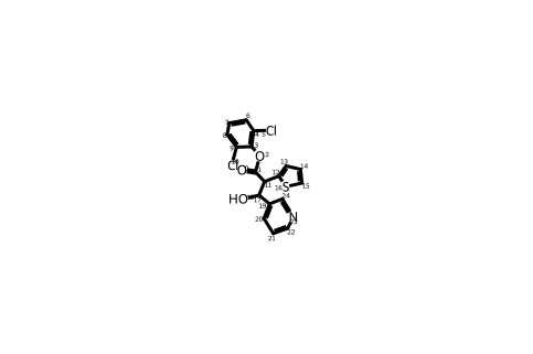 O=C(Oc1c(Cl)cccc1Cl)C(c1cccs1)C(O)c1cccnc1